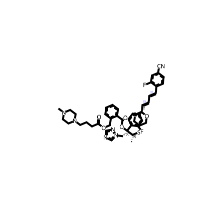 C[C@@H](S[C@H]1CO[C@H](/C=C/C=C/c2ccc(C#N)cc2F)OC1)[C@@](Cn1cncn1)(OC(=O)c1ccccc1COC(=O)CCCN1CCN(C)CC1)c1ccc(F)cc1F